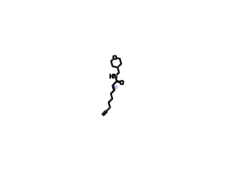 C#CCCCC/C=C/C(=O)NCC1CCOCC1